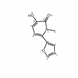 Cn1c(-c2cnno2)ncc(O)c1=O